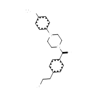 COc1ccc(N2CCN(C(=O)c3ccc(CCBr)cc3)CC2)cc1